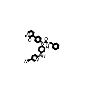 Cn1cccc(-c2ccc(N(C(=O)NCc3ccccc3)C3CCC(Nc4ccc(C#N)cn4)CC3)cc2)c1=O